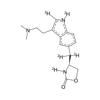 [2H]c1c(CCN(C)C)c2cc(C([2H])([2H])[C@H]3COC(=O)N3[2H])ccc2n1[2H]